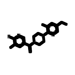 CCc1cnc(N2CCN(C(=O)c3cnc(F)c(C)c3)CC2)c(C)c1